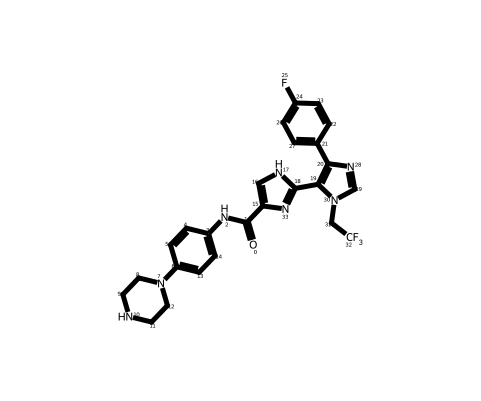 O=C(Nc1ccc(N2CCNCC2)cc1)c1c[nH]c(-c2c(-c3ccc(F)cc3)ncn2CC(F)(F)F)n1